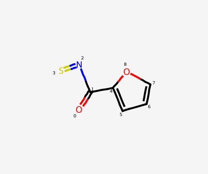 O=C(N=S)c1ccco1